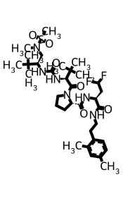 Cc1ccc(CCNC(=O)[C@H](CC(F)F)NC(=O)[C@@H]2CCCN2C(=O)[C@@H](NC(=O)N[C@H](CN(C)S(C)(=O)=O)C(C)(C)C)C(C)(C)C)c(C)c1